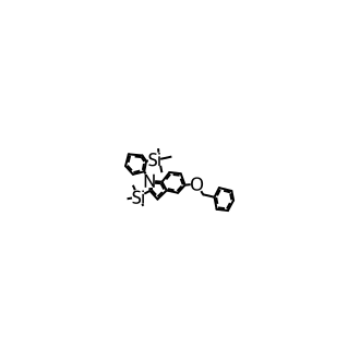 C[Si](C)(C)c1ccccc1-n1c([Si](C)(C)C)cc2cc(OCc3ccccc3)ccc21